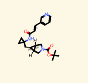 CC(C)(C)OC(=O)N1C[C@@H]2[C@H](C1)[C@H]2CC1(NC(=O)/C=C/c2cccnc2)CC1